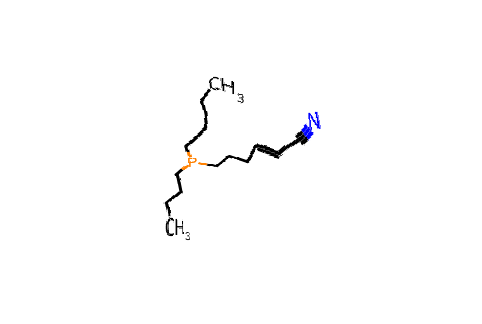 CCCCP(CCCC)CCCC=CC#N